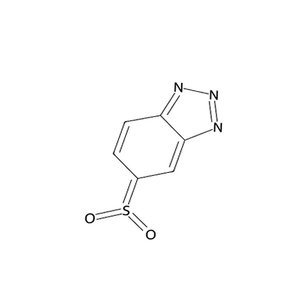 O=S(=O)=C1C=CC2=NN=NC2=C1